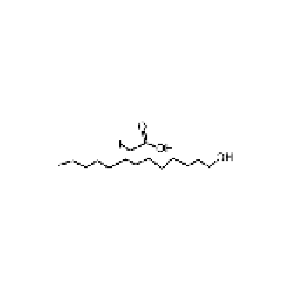 CCCCCCCCCCCCCO.O=C(O)CI